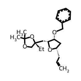 C=CC[C@H]1C[C@@H](OCc2ccccc2)[C@@H](C[C@]2(CC)COC(C)(C)O2)O1